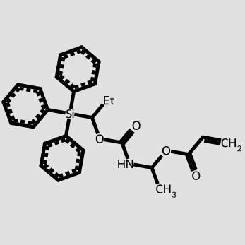 C=CC(=O)OC(C)NC(=O)OC(CC)[Si](c1ccccc1)(c1ccccc1)c1ccccc1